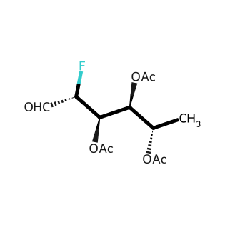 CC(=O)O[C@H]([C@@H](OC(C)=O)[C@@H](F)C=O)[C@H](C)OC(C)=O